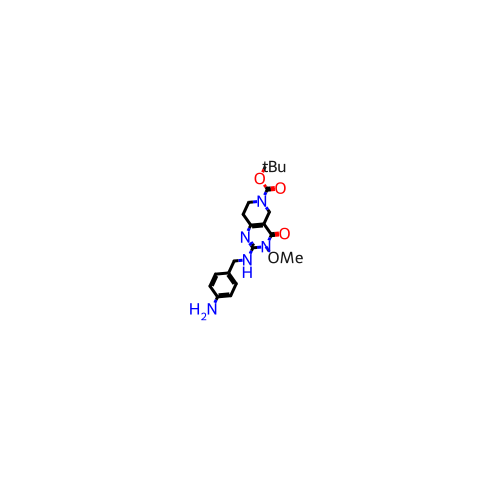 COn1c(NCc2ccc(N)cc2)nc2c(c1=O)CN(C(=O)OC(C)(C)C)CC2